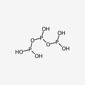 OP(O)OP(O)OP(O)O